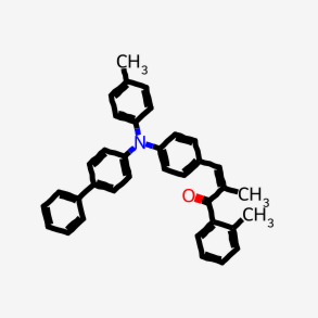 CC(=Cc1ccc(N(c2ccc(C)cc2)c2ccc(-c3ccccc3)cc2)cc1)C(=O)c1ccccc1C